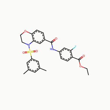 CCOC(=O)c1ccc(NC(=O)c2ccc3c(c2)N(S(=O)(=O)c2cc(C)cc(C)c2)CCO3)cc1F